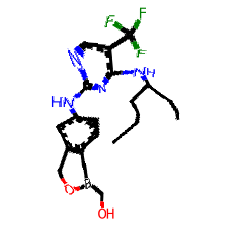 CCCC(CC)Nc1nc(Nc2ccc3c(c2)COB3CO)ncc1C(F)(F)F